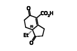 CC[C@]12CCC(=O)C(C(=O)O)=C1CCC2=O